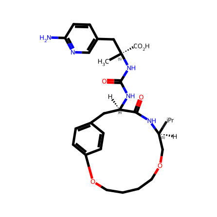 CC(C)[C@H]1COCCCCOc2ccc(cc2)C[C@@H](NC(=O)N[C@@](C)(Cc2ccc(N)nc2)C(=O)O)C(=O)N1